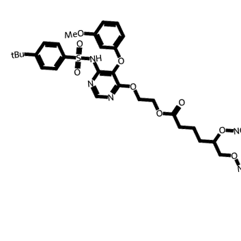 COc1cccc(Oc2c(NS(=O)(=O)c3ccc(C(C)(C)C)cc3)ncnc2OCCOC(=O)CCCC(CO[N+](=O)[O-])O[N+](=O)[O-])c1